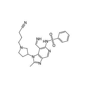 Cc1nc2cnc(NS(=O)(=O)c3ccccc3)c(C=N)c2n1C1CCN(CCCC#N)C1